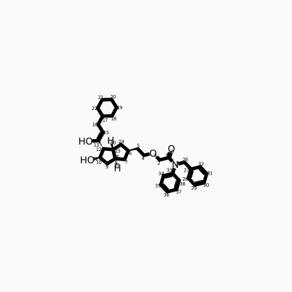 O=C(COCC[C@H]1C[C@H]2C[C@@H](O)[C@H](C(O)=CCC3CCCCC3)[C@@H]2C1)N(Cc1ccccc1)c1ccccc1